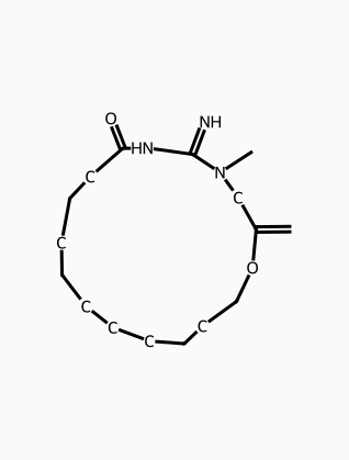 C=C1CN(C)C(=N)NC(=O)CCCCCCCCCCO1